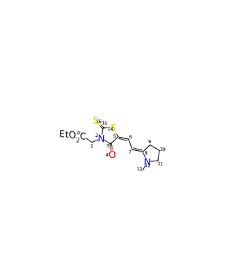 CCOC(=O)CN1C(=O)/C(=C\C=C2/CCCN2C)SC1=S